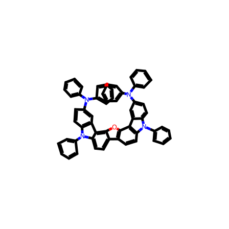 c1ccc(N(c2ccccc2)c2ccc3c(c2)c2c4oc5c(ccc6c5c5cc(N(c7ccccc7)c7ccccc7)ccc5n6-c5ccccc5)c4ccc2n3-c2ccccc2)cc1